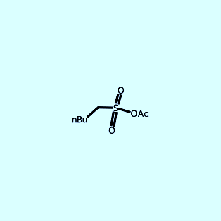 CCCCCS(=O)(=O)OC(C)=O